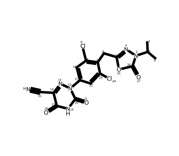 CC(C)n1nc(Cc2c(Cl)cc(-n3nc(C#N)c(=O)[nH]c3=O)cc2Cl)oc1=O